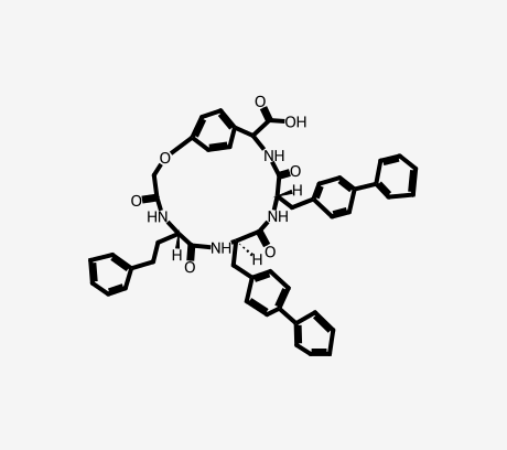 O=C1COc2ccc(cc2)C(C(=O)O)NC(=O)[C@H](Cc2ccc(-c3ccccc3)cc2)NC(=O)[C@@H](Cc2ccc(-c3ccccc3)cc2)NC(=O)[C@H](CCc2ccccc2)N1